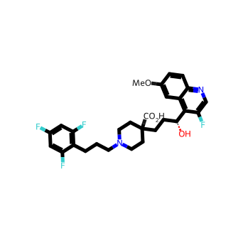 COc1ccc2ncc(F)c([C@H](O)CCC3(C(=O)O)CCN(CCCc4c(F)cc(F)cc4F)CC3)c2c1